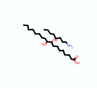 CCCCCCCCC(O)C(O)CCCCCCCC(=O)O.CCCCCCCCN